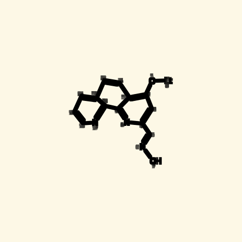 CCOc1cc(C=NO)nc2c1ccc1cccnc12